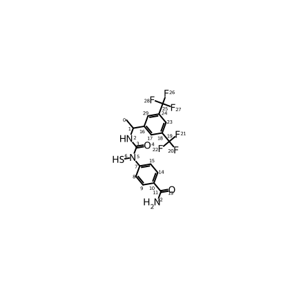 CC(NC(=O)N(S)c1ccc(C(N)=O)cc1)c1cc(C(F)(F)F)cc(C(F)(F)F)c1